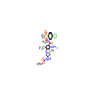 CCS(=O)(=O)c1ccc(Cl)cc1N(C)C(=O)c1cc(C(F)(F)F)c(CN2CC[C@@H](NC(=O)OC(C)(C)C)C2)c(C#N)c1N